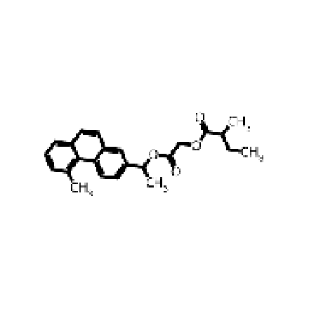 CCC(C)C(=O)OCC(=O)OC(C)c1ccc2c(ccc3cccc(C)c32)c1